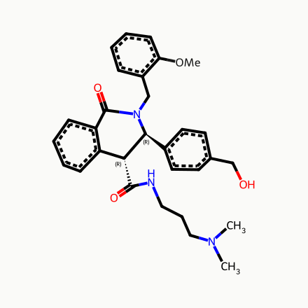 COc1ccccc1CN1C(=O)c2ccccc2[C@@H](C(=O)NCCCN(C)C)[C@@H]1c1ccc(CO)cc1